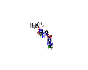 C[Si](C)(C)CCOCn1ncc(N[C@H]2CCC/C2=N\OCC(=O)N2CCN(c3ncc(C(F)(F)F)cn3)CC2)c(C(F)(F)F)c1=O